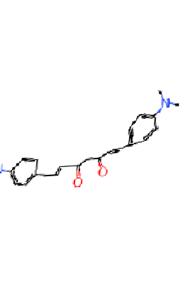 CN(C)c1ccc(C=CC(=O)CC(=O)C=Cc2ccc(N(C)C)cc2)cc1